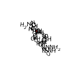 Nc1nc2c(ncn2[C@@H]2O[C@@H]3CO[PH](=O)O[C@@H]4[C@H](O)[C@@H](COP(=O)(S)O[C@H]3[C@H]2F)O[C@H]4n2cnc3c(N)ncnc32)c(=O)[nH]1